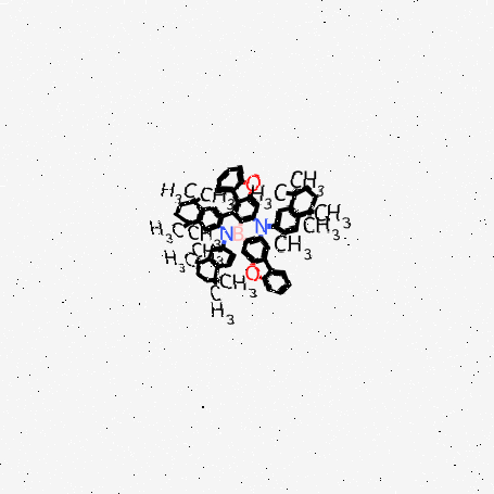 Cc1cc2c(cc1N1c3cc4c(cc3B3c5c1cc1oc6ccccc6c1c5-c1cc5c(cc1N3c1ccc3c(c1)C(C)(C)CCC3(C)C)C(C)(C)CCC5(C)C)oc1ccccc14)C(C)(C)CCC2(C)C